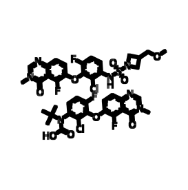 COCC1CN(S(=O)(=O)Nc2ccc(F)c(Oc3ccc4ncn(C)c(=O)c4c3F)c2Cl)C1.Cn1cnc2ccc(Oc3c(F)ccc(N(C(=O)O)C(C)(C)C)c3Cl)c(F)c2c1=O